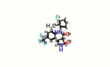 Cc1c(F)cccc1NC(=O)[C@H]1C(=O)NC[C@@H]1c1cccc(C(F)(F)F)c1